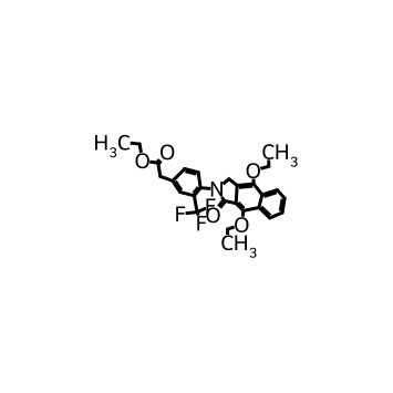 CCOC(=O)Cc1ccc(N2Cc3c(c(OCC)c4ccccc4c3OCC)C2=O)c(C(F)(F)F)c1